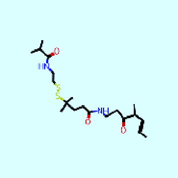 CC=CC(C)C(=O)CCNC(=O)CCC(C)(C)SSCCNC(=O)C(C)C